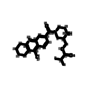 CC(C)C(=O)OCC1CN(C(=O)c2ccc3c(Cl)c4c(nc3c2)CCCC4)CCN1